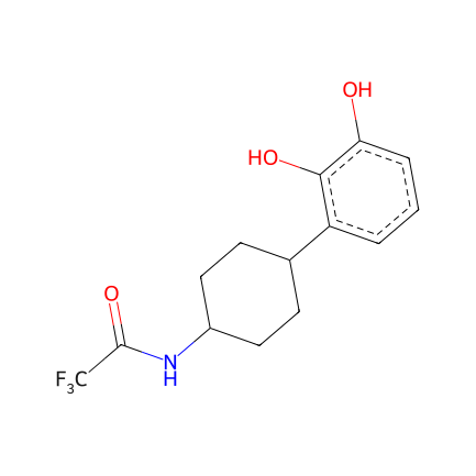 O=C(NC1CCC(c2cccc(O)c2O)CC1)C(F)(F)F